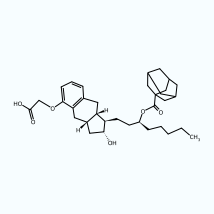 CCCCC[C@@H](CC[C@@H]1[C@H]2Cc3cccc(OCC(=O)O)c3C[C@H]2C[C@H]1O)OC(=O)C12CC3CC(CC(C3)C1)C2